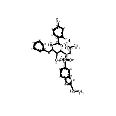 CNc1nc2ccc(S(=O)(=O)N(CC(C)C)CC(O)C(Cc3ccccc3)NC(=O)c3ccc(Br)cc3C)cc2s1